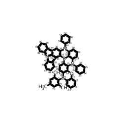 Cc1cc(C)c(B2c3ccccc3Oc3c2ccc2c3N(c3ccccc3)c3cccc4c3B2c2c(cc3c5ccccc5n5c6ccccc6c2c35)N4c2ccccc2)c(C)c1